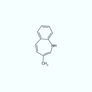 CC1=CNc2ccccc2C=C1